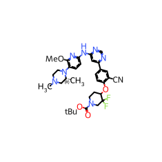 COc1nc(Nc2cc(-c3ccc(OC4CCN(C(=O)OC(C)(C)C)CC4(F)F)c(C#N)c3)ncn2)ccc1N1CCN(C)C[C@H]1C